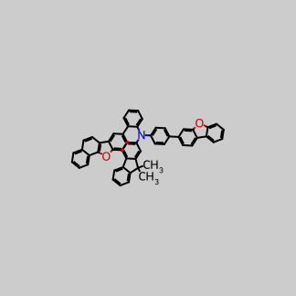 CC1(C)c2ccccc2-c2ccc(N(c3ccc(-c4ccc5c(c4)oc4ccccc45)cc3)c3ccccc3-c3ccc4oc5c6ccccc6ccc5c4c3)cc21